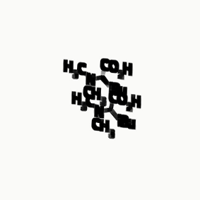 CCC(C)C(C(=O)O)N(C)C.CC[C@H](C)[C@@H](C(=O)O)N(C)C